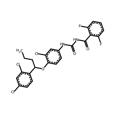 CCCC(Oc1ccc(NC(=O)NC(=O)c2c(F)cccc2F)cc1Cl)c1ccc(Cl)cc1Cl